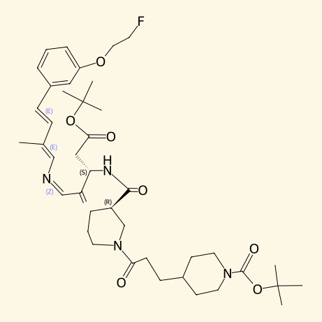 C=C(\C=N/C=C(C)/C=C/c1cccc(OCCF)c1)[C@H](CC(=O)OC(C)(C)C)NC(=O)[C@@H]1CCCN(C(=O)CCC2CCN(C(=O)OC(C)(C)C)CC2)C1